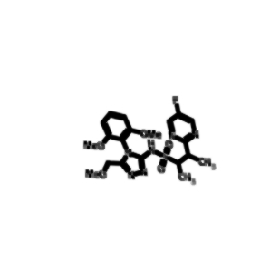 COCc1nnc(NS(=O)(=O)C(C)C(C)c2ncc(F)cn2)n1-c1c(OC)cccc1OC